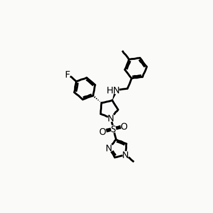 Cc1cccc(CN[C@H]2CN(S(=O)(=O)c3cn(C)cn3)C[C@@H]2c2ccc(F)cc2)c1